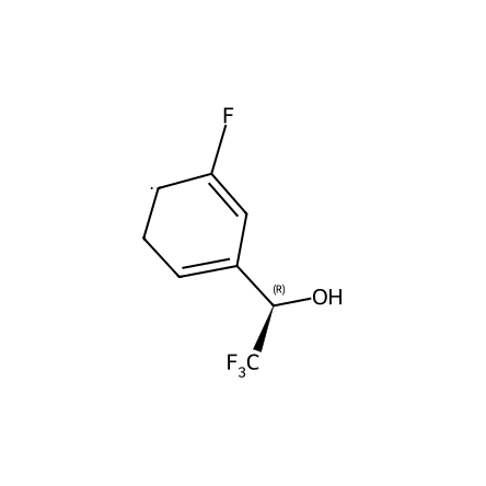 O[C@H](C1=CC[CH]C(F)=C1)C(F)(F)F